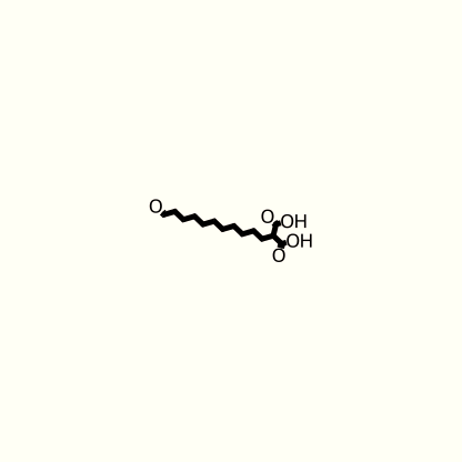 O=CCCCCCCCCCCC(C(=O)O)C(=O)O